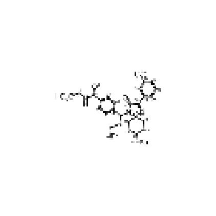 CC(C)CCC(c1ccc(C(=O)NCC(=O)O)cc1)N1C(=O)C(c2cccc(Cl)c2)=NC12CCC(C(C)(C)C)CC2